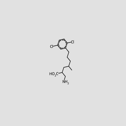 CC(CCCc1cc(Cl)ccc1Cl)CC(CN)C(=O)O